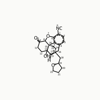 [C-]#[N+]c1ccc2c3c1OC1C(=O)CCC4(O)[C@@H](C2)N(CC2CCCO2)CC[C@]314